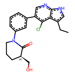 CCc1c[nH]c2ncc(-c3cccc(N4CCC[C@H](CO)C4=O)c3)c(Cl)c12